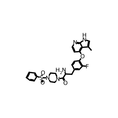 Cc1c[nH]c2nccc(Oc3ccc(CC(N)C(=O)N4CCN(S(=O)(=O)c5ccccc5)CC4)cc3F)c12